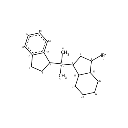 CC(C)C1CC(S(C)(C)C2CCc3ccccc32)C2CCCCC12